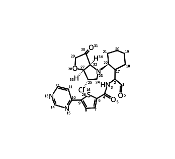 O=CC(NC(=O)c1ccc(-c2ccncn2)s1)C1CCCC[C@@H]1N1C[C@H](Cl)[C@H]2OCC(=O)[C@H]21